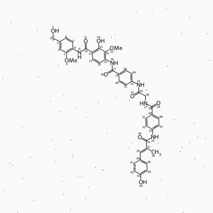 COc1cc(SO)ccc1NC(=O)c1ccc(NC(=O)c2ccc(NC(=O)CNC(=O)c3ccc(NC(=O)/C(C)=C/c4ccc(O)cc4)cc3)cc2)c(OC)c1O